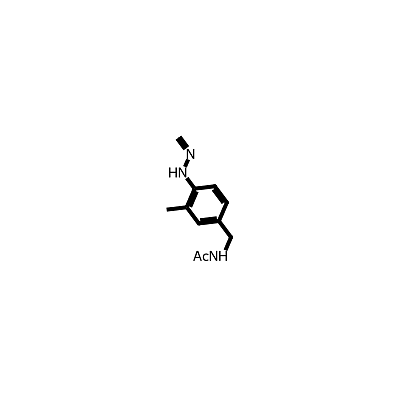 C=NNc1ccc(CNC(C)=O)cc1C